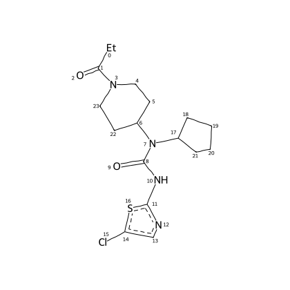 CCC(=O)N1CCC(N(C(=O)Nc2ncc(Cl)s2)C2CCCC2)CC1